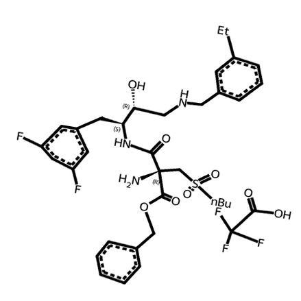 CCCCS(=O)(=O)C[C@@](N)(C(=O)N[C@@H](Cc1cc(F)cc(F)c1)[C@H](O)CNCc1cccc(CC)c1)C(=O)OCc1ccccc1.O=C(O)C(F)(F)F